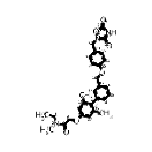 CCN(C)C(=O)COc1cc(C)c(-c2cccc(COc3ccc(Cn4oc(=O)[nH]c4=O)cc3)c2)c(C)c1